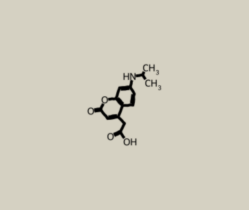 CC(C)Nc1ccc2c(CC(=O)O)cc(=O)oc2c1